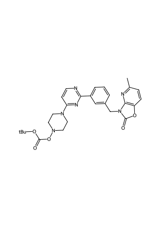 Cc1ccc2oc(=O)n(Cc3cccc(-c4nccc(N5CCN(OC(=O)OC(C)(C)C)CC5)n4)c3)c2n1